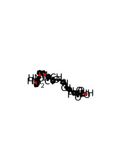 Cc1c(OCCC2CCN(CC(=O)N3CCN(c4cc5c(cc4F)C(=O)N(C4CCC(=O)NC4=O)C5=O)CC3)CC2)cccc1-c1ccc(N2CCc3cccc(C(=O)Nc4nc5ccccc5s4)c3C2)nc1C(=O)O